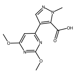 COc1cc(-c2cnn(C)c2C(=O)O)nc(OC)n1